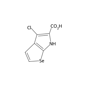 O=C(O)c1[nH]c2[se]ccc2c1Cl